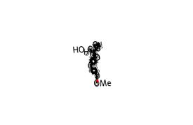 COCCOc1ccc(Oc2ccc(S(=O)(=O)C[C@@H](NC(=O)O)[C@H]3COC(C)(C)O3)cc2)cc1